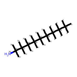 CC(C)(C)C(C)(C)C(C)(C)C(C)(C)C(C)(C)C(C)(C)C(C)(C)C(C)(C)C(C)(C)N